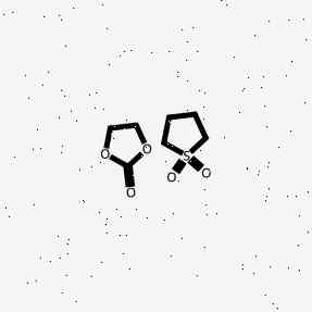 O=C1OCCO1.O=S1(=O)CCCC1